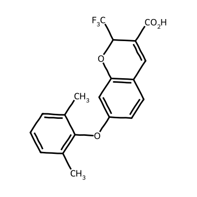 Cc1cccc(C)c1Oc1ccc2c(c1)OC(C(F)(F)F)C(C(=O)O)=C2